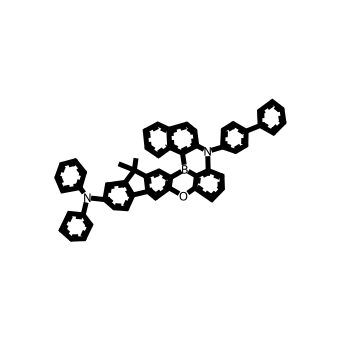 CC1(C)c2cc(N(c3ccccc3)c3ccccc3)ccc2-c2cc3c(cc21)B1c2c(cccc2N(c2ccc(-c4ccccc4)cc2)c2ccc4ccccc4c21)O3